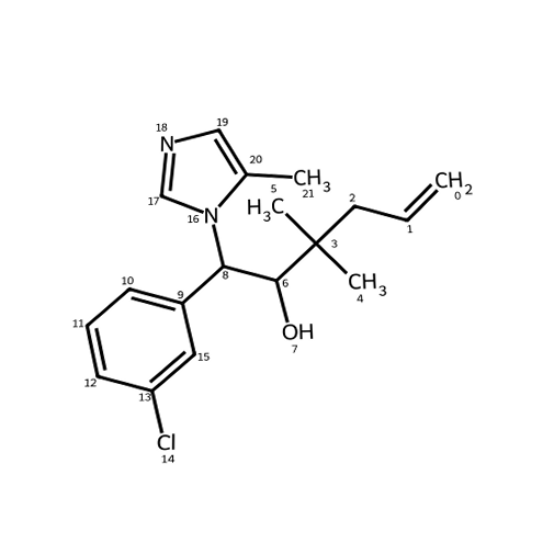 C=CCC(C)(C)C(O)C(c1cccc(Cl)c1)n1cncc1C